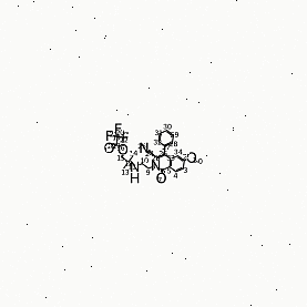 COc1ccc2c(=O)n(CCNC(C)(C)COC(=O)C(F)(F)F)c(C#N)c(-c3ccccc3)c2c1